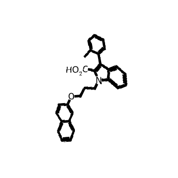 Cc1ccccc1-c1c(C(=O)O)n(CCCOc2ccc3ccccc3c2)c2ccccc12